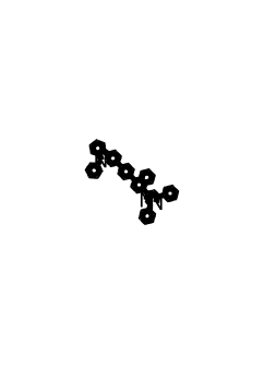 c1ccc(-c2cc(-c3ccc(-c4ccc(-c5ccc6c7ccccc7n(-c7ccccc7)c6c5)cc4)c4ccccc34)nc(-c3ccccc3)n2)cc1